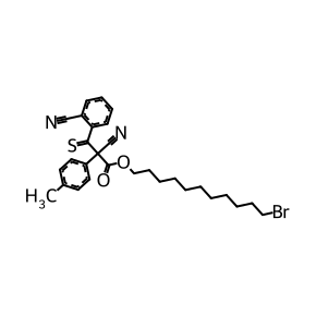 Cc1ccc(C(C#N)(C(=O)OCCCCCCCCCCCBr)C(=S)c2ccccc2C#N)cc1